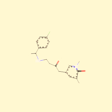 CCOC(=O)C(NCCC(=O)Cc1cc(C)c(=O)n(C)c1)c1ccc(Cl)cc1